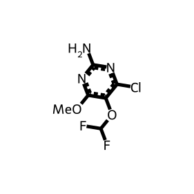 COc1nc(N)nc(Cl)c1OC(F)F